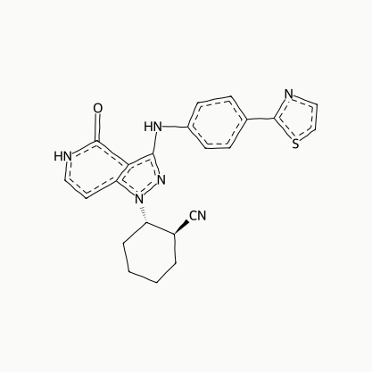 N#C[C@H]1CCCC[C@@H]1n1nc(Nc2ccc(-c3nccs3)cc2)c2c(=O)[nH]ccc21